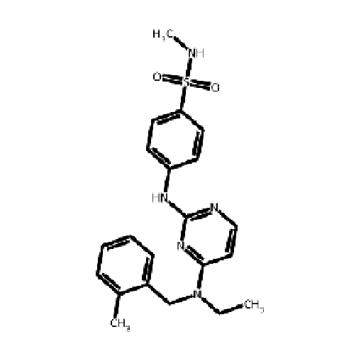 CCN(Cc1ccccc1C)c1ccnc(Nc2ccc(S(=O)(=O)NC)cc2)n1